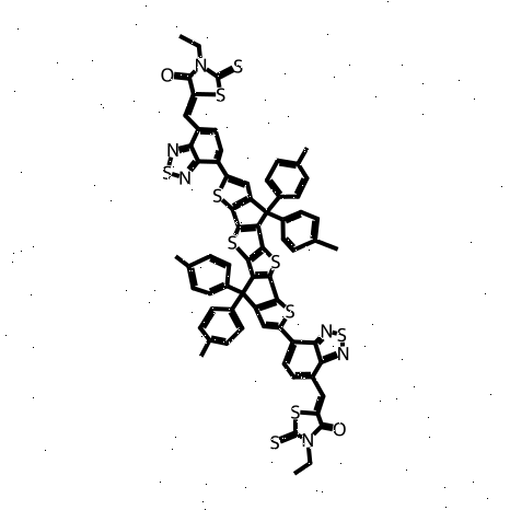 CCN1C(=O)/C(=C/c2ccc(-c3cc4c(s3)-c3sc5c6c(sc5c3C4(c3ccc(C)cc3)c3ccc(C)cc3)-c3sc(-c4ccc(/C=C5\SC(=S)N(CC)C5=O)c5nsnc45)cc3C6(c3ccc(C)cc3)c3ccc(C)cc3)c3nsnc23)SC1=S